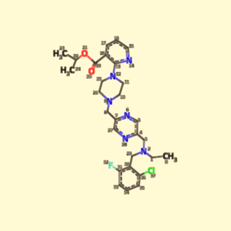 CCN(Cc1cnc(CN2CCN(c3ncccc3C(=O)OC(C)C)CC2)cn1)Cc1c(F)cccc1Cl